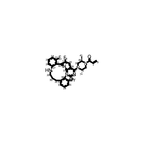 C=CC(=O)N1C[C@H](C)N(c2nc(=O)n3c4nc(c(F)cc24)-c2c(F)cccc2NCCCc2cccc(C(C)C)c2-3)C[C@H]1C